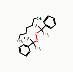 CC(C)(OOC(C)(C)c1ccccc1)c1ccccc1.CCCCCCC